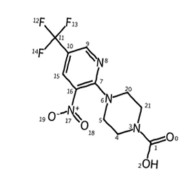 O=C(O)N1CCN(c2ncc(C(F)(F)F)cc2[N+](=O)[O-])CC1